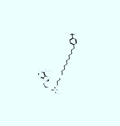 C[C@H](Cn1cnc2c(N)ncnc21)OCP(=O)(O)OCCCOCCCCCCCCCCCc1ccc(C(F)(F)F)cc1